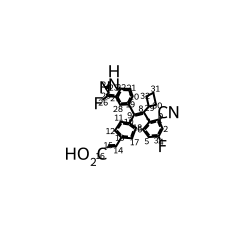 N#Cc1cc(F)ccc1/C(=C(\c1ccc(/C=C/C(=O)O)cc1)c1ccc2[nH]nc(F)c2c1)C1CCC1